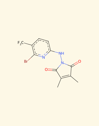 CC1=C(C)C(=O)N(Nc2ccc(C(F)(F)F)c(Br)n2)C1=O